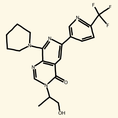 CC(CO)n1cnc2c(N3CCCCC3)nc(-c3ccc(C(F)(F)F)nc3)cc2c1=O